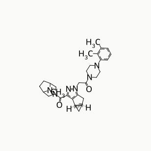 Cc1cccc(N2CCN(C(=O)Cn3nc(C(=O)N4CC5CCC(C4)N5C)c4c3C[C@H]3C[C@@H]43)CC2)c1C